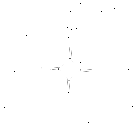 O=C1C(=O)C(=O)C1=O